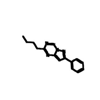 CCCCc1n[c]n2nc(-c3ccccc3)cc2n1